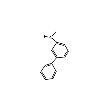 IN(I)c1cncc(-c2ccccc2)c1